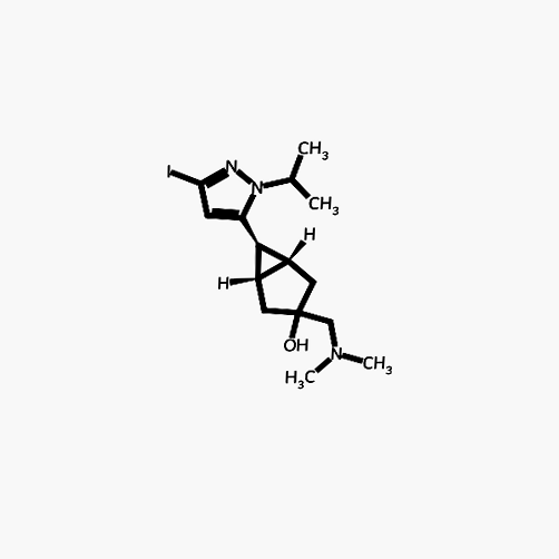 CC(C)n1nc(I)cc1[C@H]1[C@@H]2CC(O)(CN(C)C)C[C@@H]21